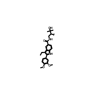 CCc1c(-c2ccc(OC)c(OC)c2)[nH]c2ccc(C(=O)NCC(F)C(C)(C)O)cc12